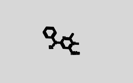 CCN(c1ccccc1)c1cc(NC)[n+](C)c(C)n1